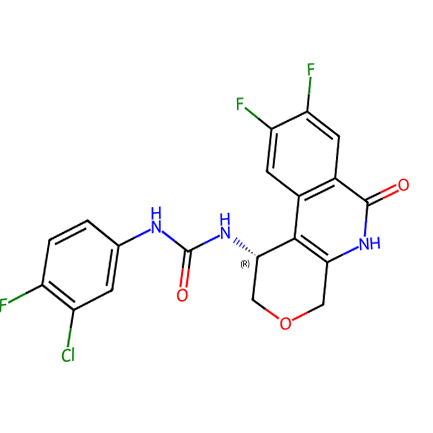 O=C(Nc1ccc(F)c(Cl)c1)N[C@H]1COCc2[nH]c(=O)c3cc(F)c(F)cc3c21